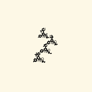 CCC(C)(C)NC(=O)c1cc(-c2ccc(C)cc2)cc(-c2cccnc2C)c1.CCC(C)(C)NC(=O)c1cc(-c2ccc(C)cc2)cc(-c2cnccc2C(C)C)c1.CCC(C)(C)NC(=O)c1cc(-c2ccc(C)cc2)cc(-c2cnccc2C)c1.CCC(C)(C)NC(=O)c1cc(-c2ccc(C)cc2)cc(-c2cncnc2C(C)C)c1